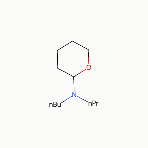 CCCCN(CCC)[C]1CCCCO1